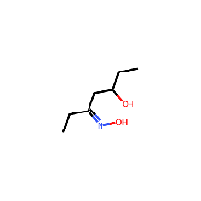 CCC(CC(O)CC)=NO